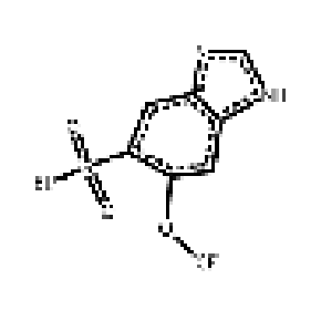 CCS(=O)(=O)c1cc2nc[nH]c2cc1OC(F)(F)F